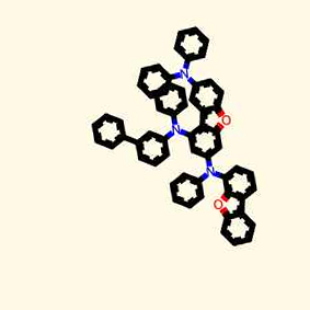 c1ccc(-c2cccc(N(c3ccccc3)c3cc(N(c4ccccc4)c4cccc5c4oc4ccccc45)cc4oc5ccc(N(c6ccccc6)c6ccccc6)cc5c34)c2)cc1